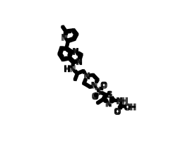 Cc1cccc(-c2cccc3c(NC(C)CN4CCN(S(=O)(=O)c5sc(NC(=O)O)nc5C)CC4)ncnc23)n1